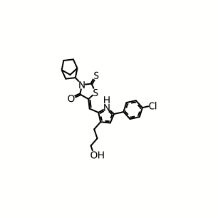 O=C1/C(=C/c2[nH]c(-c3ccc(Cl)cc3)cc2CCCO)SC(=S)N1C1CC2CCC1C2